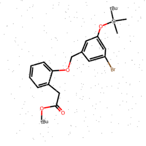 CC(C)(C)OC(=O)Cc1ccccc1OCc1cc(Br)cc(O[Si](C)(C)C(C)(C)C)c1